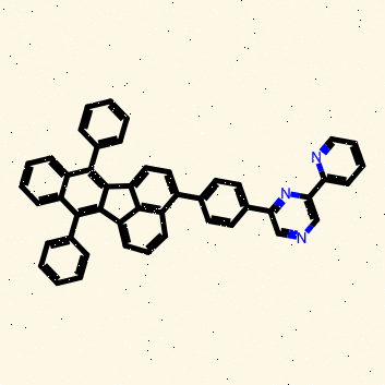 c1ccc(-c2c3c(c(-c4ccccc4)c4ccccc24)-c2ccc(-c4ccc(-c5cncc(-c6ccccn6)n5)cc4)c4cccc-3c24)cc1